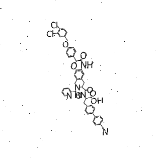 N#Cc1ccc(-c2ccc(CC(NC(=O)C3Cc4cc5c(cc4CN3C(=O)c3ccccn3)OC(c3ccc(OCc4ccc(Cl)c(Cl)c4)cc3)C(=O)N5)C(=O)O)cc2)cc1